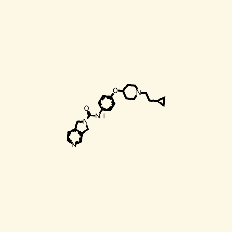 O=C(Nc1ccc(OC2CCN(CCC3CC3)CC2)cc1)N1Cc2ccncc2C1